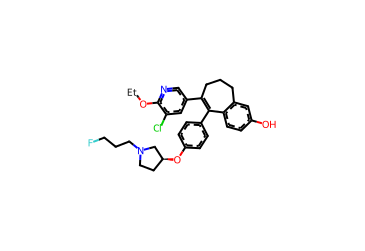 CCOc1ncc(C2=C(c3ccc(O[C@H]4CCN(CCCF)C4)cc3)c3ccc(O)cc3CCC2)cc1Cl